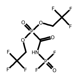 O=C(NP(=O)(F)F)P(=O)(OCC(F)(F)F)OCC(F)(F)F